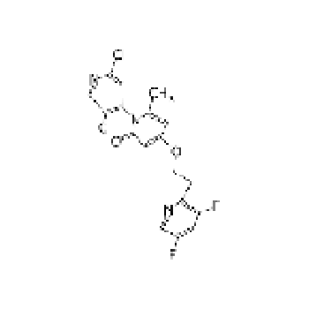 Cc1cc(OCCc2ncc(F)cc2F)cc(=O)n1-c1cc(Cl)ncc1Cl